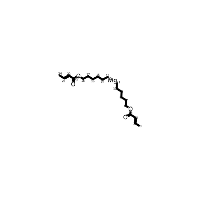 CC=CC(=O)OCCCCC[CH2][Mg][CH2]CCCCCOC(=O)C=CC